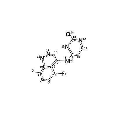 Cc1ccc(F)c2c(Nc3ccnc(Cl)n3)cnnc12